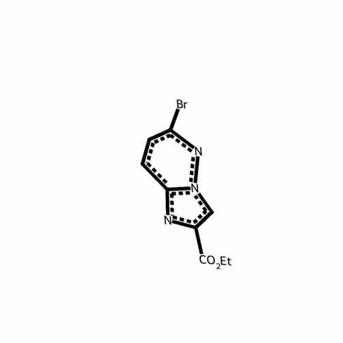 CCOC(=O)c1cn2nc(Br)ccc2n1